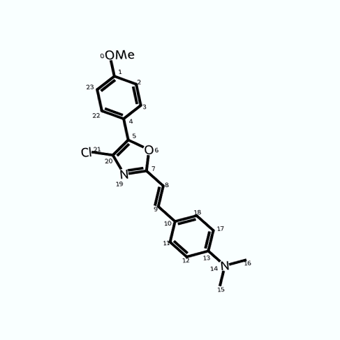 COc1ccc(-c2oc(C=Cc3ccc(N(C)C)cc3)nc2Cl)cc1